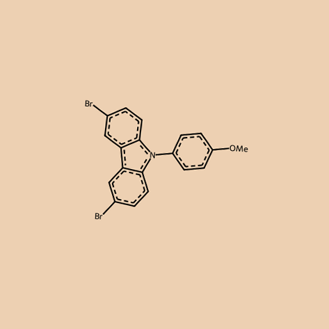 COc1ccc(-n2c3ccc(Br)cc3c3cc(Br)ccc32)cc1